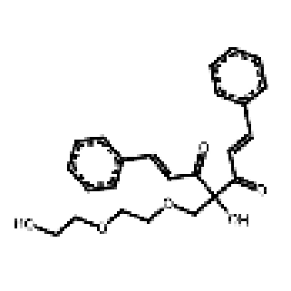 O=C(/C=C/c1ccccc1)C(O)(COCCOCCO)C(=O)/C=C/c1ccccc1